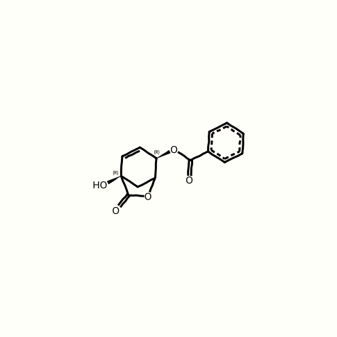 O=C(O[C@@H]1C=C[C@]2(O)CC1OC2=O)c1ccccc1